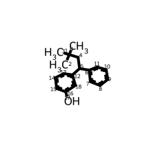 CC(C)(C)CC(c1ccccc1)c1cccc(O)c1